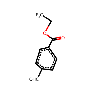 O=Cc1ccc(C(=O)OCC(F)(F)F)cc1